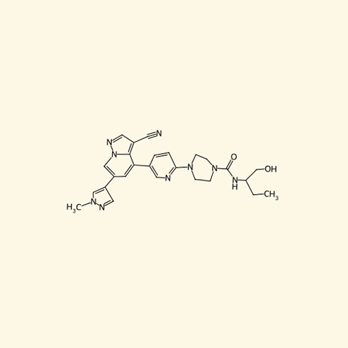 CCC(CO)NC(=O)N1CCN(c2ccc(-c3cc(-c4cnn(C)c4)cn4ncc(C#N)c34)cn2)CC1